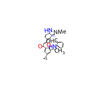 CN/C=C1/C=C(c2cc(=O)c3cc(C4CC4)cc(C(C)Nc4ccccc4C=O)c3o2)C=CC1=N